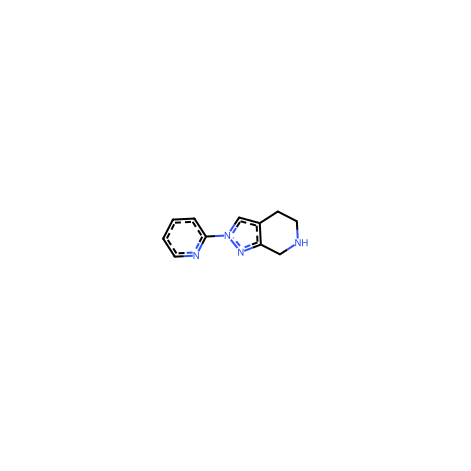 c1ccc(-n2cc3c(n2)CNCC3)nc1